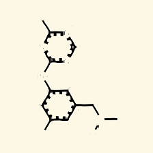 C[SH](O)Cc1cc(F)cc(Nc2ncnc(Cl)n2)c1